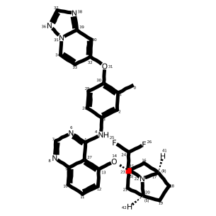 Cc1cc(Nc2ncnc3cccc(O[C@@H]4C[C@H]5CC[C@@H](C4)N5CC(F)F)c23)ccc1Oc1ccn2ncnc2c1